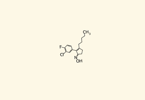 CCCCCC1=C(c2ccc(F)c(Cl)c2)C(=NO)CC1